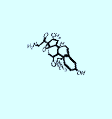 C[C@@H]1CC2[C@@H]3CCC4=CC(O)C=C[C@]4(C)C3[C@@H](O)C[C@@]23O[C@]13C(=O)CN